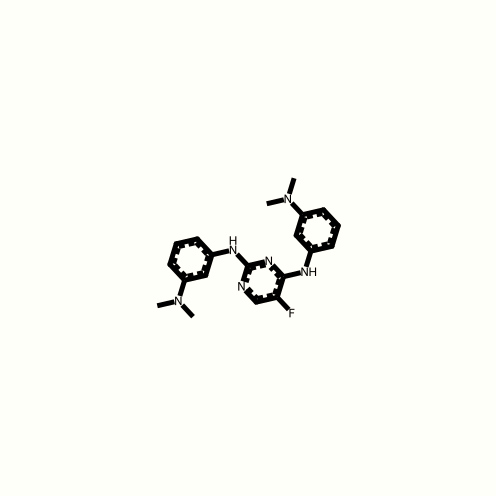 CN(C)c1cccc(Nc2ncc(F)c(Nc3cccc(N(C)C)c3)n2)c1